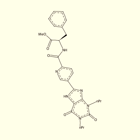 CCCn1c(=O)c2[nH]c(-c3ccc(C(=O)N[C@H](Cc4ccccc4)C(=O)OC)nc3)nc2n(CCC)c1=O